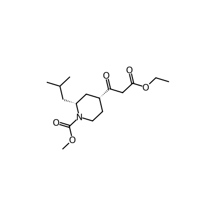 CCOC(=O)CC(=O)[C@@H]1CCN(C(=O)OC)[C@H](CC(C)C)C1